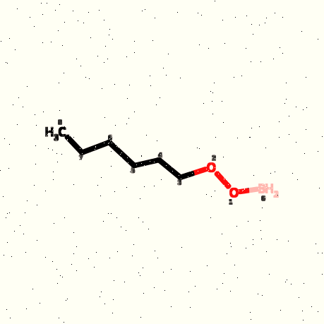 BOOCCCCCC